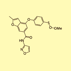 COOSc1ccc(Oc2cc(C(=O)Nc3ccon3)cc3oc(C)cc23)cc1